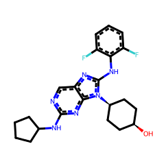 O[C@H]1CC[C@@H](n2c(Nc3c(F)cccc3F)nc3cnc(NC4CCCC4)nc32)CC1